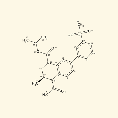 CC(=O)N1c2ccc(-c3cccc(S(C)(=O)=O)c3)cc2N(C(=O)OC(C)C)C[C@@H]1C